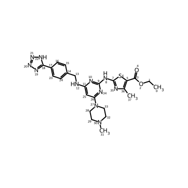 CCOC(=O)c1sc(Nc2nc(NCc3ccc(-c4nnn[nH]4)cc3)cc(N3CCN(C)CC3)n2)nc1C